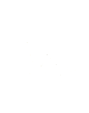 CC(=O)Oc1cc(CO[N+](=O)[O-])c(F)cc1C(=O)Oc1ccccc1